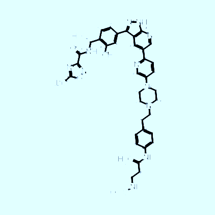 C=C(CCNC=O)Nc1ccc(CCN2CCN(c3ccc(-c4cnc5[nH]nc(-c6ccc([C@@H](C)NC(=O)c7noc(C(C)(C)C)n7)c(C)c6)c5c4)nc3)CC2)cc1